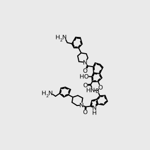 NCc1cccc(C2CCN(C(=O)c3cc4c(B5NC(=O)c6c(cc7cccc(C(=O)N8CCC(c9cccc(CN)c9)CC8)c7c6O)O5)cccc4[nH]3)CC2)c1